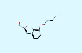 COCCCOc1cccc2cc(CO)oc12